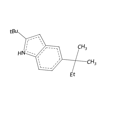 CCC(C)(C)c1ccc2[nH]c(C(C)(C)C)cc2c1